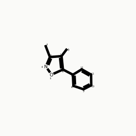 [CH2]c1c(C)noc1-c1ccccc1